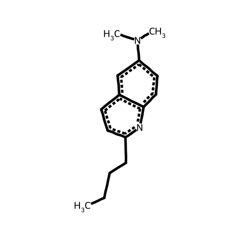 CCCCc1ccc2cc(N(C)C)ccc2n1